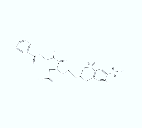 CC(CSC(=O)c1ccccc1)C(=O)N(CCCC1Nc2cc(Cl)c(S(N)(=O)=O)cc2S(=O)(=O)N1)CC(=O)O